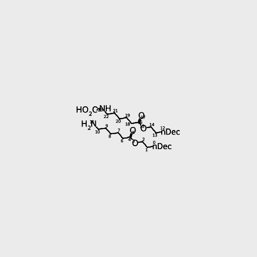 CCCCCCCCCCCCOC(=O)CCCCCN.CCCCCCCCCCCCOC(=O)CCCCCNC(=O)O